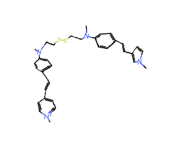 CN(CCSSCCN(C)c1ccc(/C=C/c2ccn(C)c2)cc1)c1ccc(/C=C/c2cc[n+](C)cc2)cc1